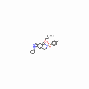 COCCOCC12Cc3cnn(C4CCCC4)c3C=C1CCN(S(=O)(=O)c1ccc(C)cc1)C2